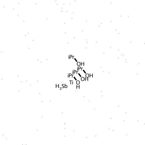 CC(C)O.CC(C)O.CC(C)O.CC(C)O.[SbH3].[Ti]